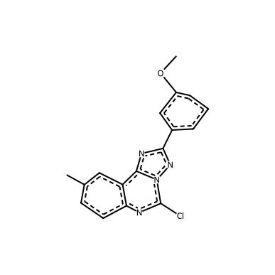 COc1cccc(-c2nc3c4cc(C)ccc4nc(Cl)n3n2)c1